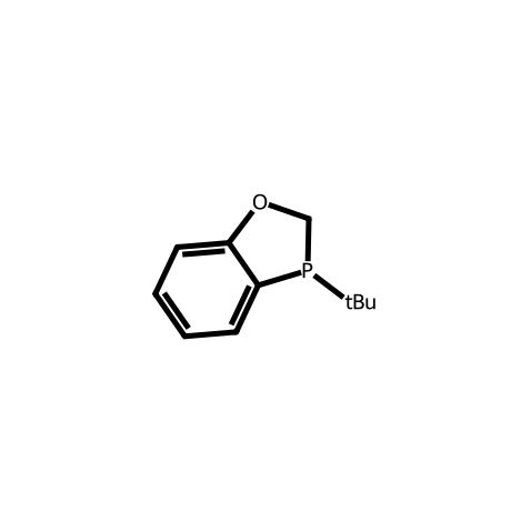 CC(C)(C)P1COc2ccccc21